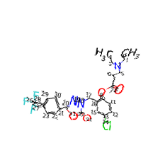 CCN(CC)CCC(=O)Oc1ccc(Cl)cc1Cn1nc(-c2ccc(C(F)(F)F)cc2)oc1=O